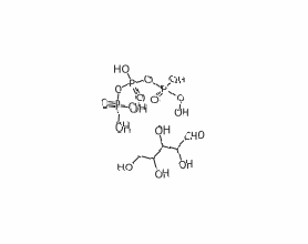 O=CC(O)C(O)C(O)CO.O=P(O)(O)OP(=O)(O)OP(=O)(O)OO